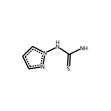 [NH]C(=S)Nn1cccn1